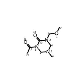 COCN1CN(C)CN(C(C)=O)C1=O